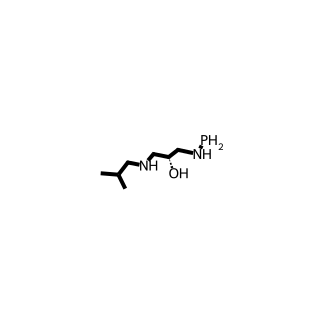 CC(C)CNC[C@@H](O)CNP